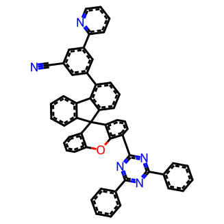 N#Cc1cc(-c2ccccn2)cc(-c2cccc3c2-c2ccccc2C32c3ccccc3Oc3c(-c4nc(-c5ccccc5)nc(-c5ccccc5)n4)cccc32)c1